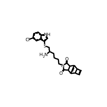 NC(CCCCN1C(=O)C2C3C=CC(C4C=CC43)C2C1=O)CSc1c[nH]c2ccc(Cl)cc12